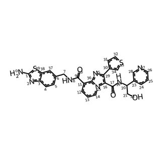 Nc1nc2ccc(CNC(=O)c3cccn4c(C(=O)NC(CO)c5cccnc5)c(-c5ccsc5)nc34)cc2s1